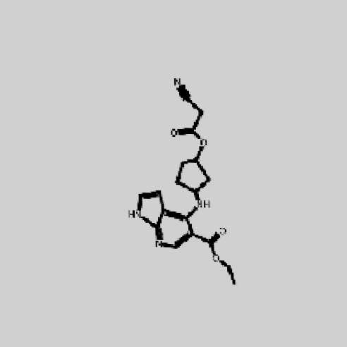 CCOC(=O)c1cnc2[nH]ccc2c1NC1CCC(OC(=O)CC#N)C1